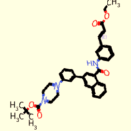 CCOC(=O)/C=C/c1cccc(NC(=O)c2cc(-c3cccc(N4CCN(C(=O)OC(C)(C)C)CC4)c3)cc3ccccc23)c1